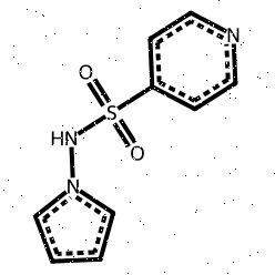 O=S(=O)(Nn1cccc1)c1ccncc1